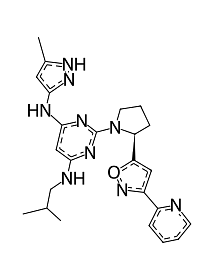 Cc1cc(Nc2cc(NCC(C)C)nc(N3CCC[C@H]3c3cc(-c4ccccn4)no3)n2)n[nH]1